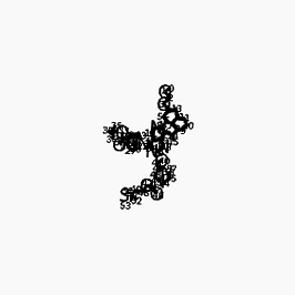 COCOc1cc2c3c(cccc3c1)C(C)c1c-2ncc2c(N3CC4CCCC3CN4C(=O)OC(C)(C)C)nc(OC[C@@H]3CN(C(=O)OCC[Si](C)(C)C)CCN3C)nc12